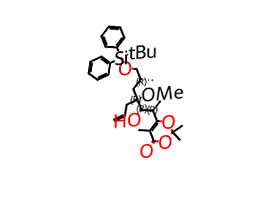 C=CC[C@](C[C@@H](C)CO[Si](c1ccccc1)(c1ccccc1)C(C)(C)C)(OC)[C@H](O)[C@@H](C)C1=C(C)C(=O)OC(C)(C)O1